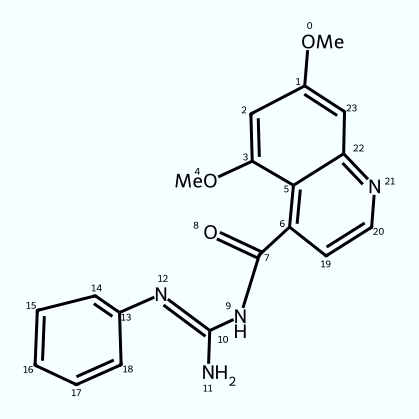 COc1cc(OC)c2c(C(=O)NC(N)=Nc3ccccc3)ccnc2c1